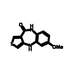 COc1ccc2c(c1)Nc1cscc1C(=O)N2